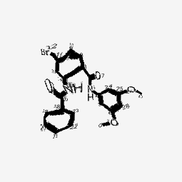 COc1cc(NC(=O)c2ccc(Br)cc2NC(=O)c2ccccc2)cc(OC)c1